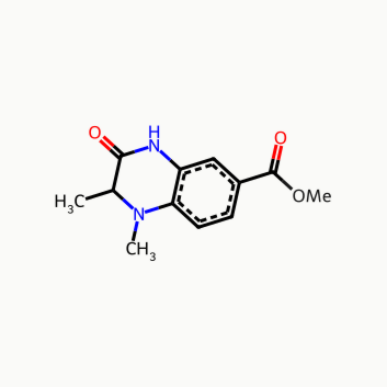 COC(=O)c1ccc2c(c1)NC(=O)C(C)N2C